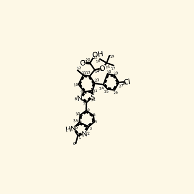 Cc1nc2ccc(-c3nc4cc(C)c(C(OC(C)(C)C)C(=O)O)c(-c5ccc(Cl)cc5)c4s3)cc2[nH]1